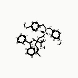 C/C=C/CC(CCS(=O)(=O)N(Cc1ccc(OC)cc1)Cc1ccc(OC)cc1)(N=C(c1ccccc1)c1ccccc1)C(=O)O